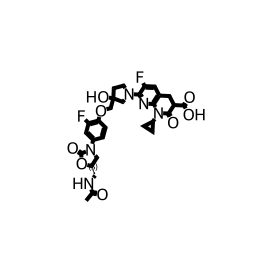 CC(=O)NC[C@H]1CN(c2ccc(OCC3(O)CCN(c4nc5c(cc4F)CC(C(=O)O)C(=O)N5C4CC4)C3)c(F)c2)C(=O)O1